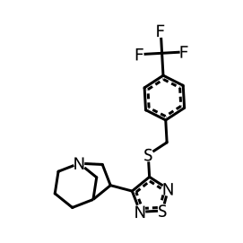 FC(F)(F)c1ccc(CSc2nsnc2C2CN3CCCC2C3)cc1